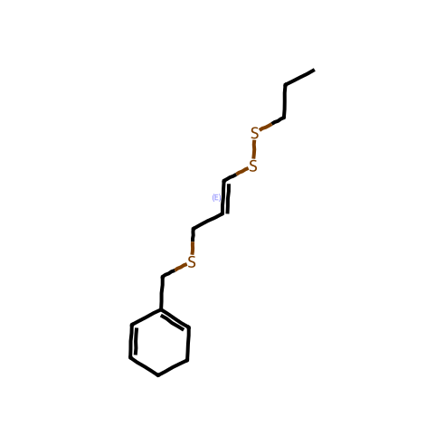 CCCSS/C=C/CSCC1=CCCC=C1